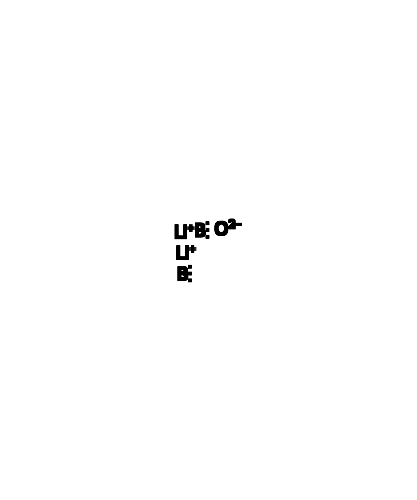 [B].[B].[Li+].[Li+].[O-2]